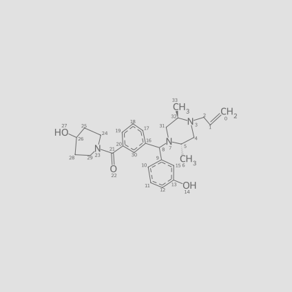 C=CCN1C[C@H](C)N(C(c2cccc(O)c2)c2cccc(C(=O)N3CCC(O)CC3)c2)C[C@H]1C